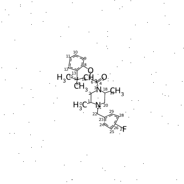 CC1CN(C(=O)COc2ccccc2C(C)(C)C)C(C)CN1Cc1ccc(F)cc1